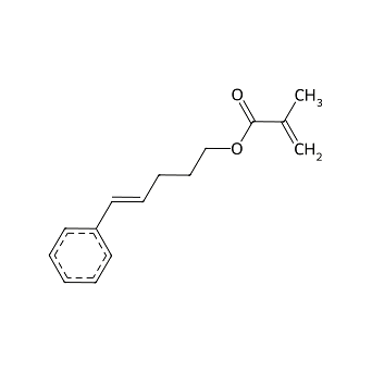 C=C(C)C(=O)OCCCC=Cc1ccccc1